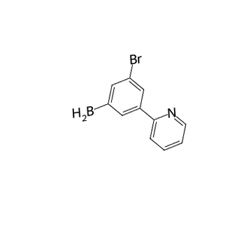 Bc1cc(Br)cc(-c2ccccn2)c1